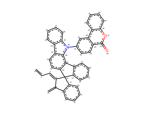 C=C/C=C1\C(=C)c2ccccc2C12c1ccccc1-c1c2ccc2c3ccccc3n(-c3ccc4c(=O)oc5ccccc5c4c3)c12